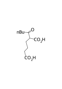 CCCCC(=O)C(CCCC(=O)O)C(=O)O